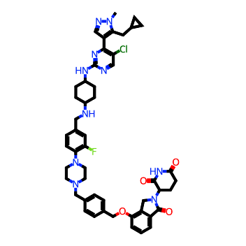 Cn1ncc(-c2nc(NC3CCC(NCc4ccc(N5CCN(Cc6ccc(COc7cccc8c7CN(C7CCC(=O)NC7=O)C8=O)cc6)CC5)c(F)c4)CC3)ncc2Cl)c1CC1CC1